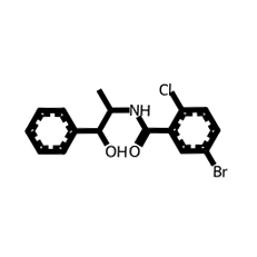 CC(NC(=O)c1cc(Br)ccc1Cl)C(O)c1ccccc1